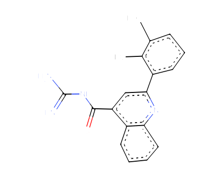 Cc1cccc(-c2cc(C(=O)NC(=N)N)c3ccccc3n2)c1C